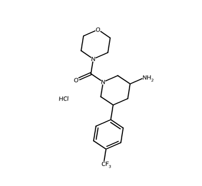 Cl.NC1CC(c2ccc(C(F)(F)F)cc2)CN(C(=O)N2CCOCC2)C1